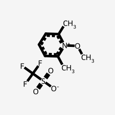 CO[n+]1c(C)cccc1C.O=S(=O)([O-])C(F)(F)F